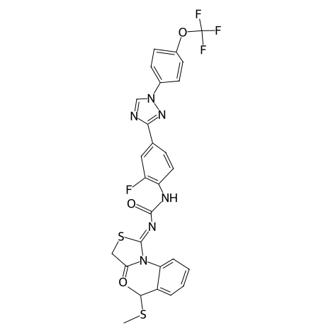 CSC(C)c1ccccc1N1C(=O)CSC1=NC(=O)Nc1ccc(-c2ncn(-c3ccc(OC(F)(F)F)cc3)n2)cc1F